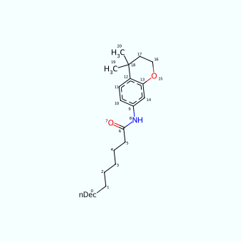 CCCCCCCCCCCCCCCC(=O)Nc1ccc2c(c1)OCCC2(C)C